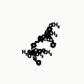 COc1ccc(C2S[C@@]3(COCc4ccccc4)C(=O)N(C)[C@@](Cc4ccc(CCc5ccc(C[C@]67SC(c8ccc(OC)cc8)S[C@](COCc8ccccc8)(C(=O)N6C)N(C)C7=O)cc5)cc4)(S2)C(=O)N3C)cc1